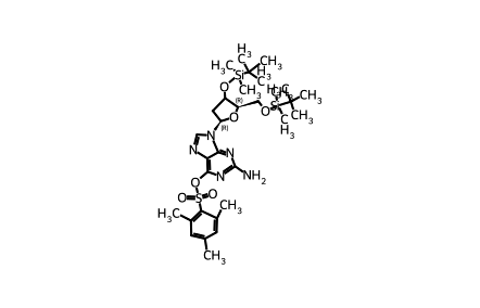 Cc1cc(C)c(S(=O)(=O)Oc2nc(N)nc3c2ncn3[C@H]2CC(O[Si](C)(C)C(C)(C)C)[C@@H](CO[Si](C)(C)C(C)(C)C)O2)c(C)c1